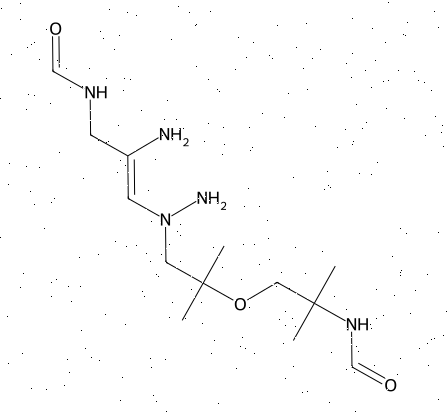 CC(C)(COC(C)(C)CN(N)/C=C(\N)CNC=O)NC=O